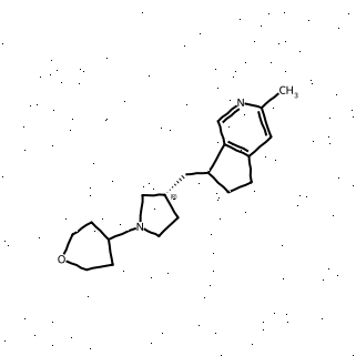 Cc1cc2c(cn1)C(C[C@@H]1CCN(C3CCOCC3)C1)CC2